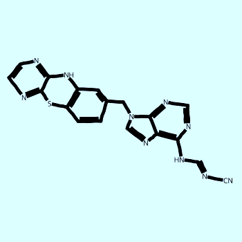 N#CN=CNc1ncnc2c1ncn2Cc1ccc2c(c1)Nc1nccnc1S2